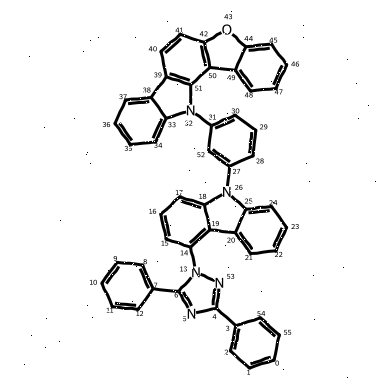 c1ccc(-c2nc(-c3ccccc3)n(-c3cccc4c3c3ccccc3n4-c3cccc(-n4c5ccccc5c5ccc6oc7ccccc7c6c54)c3)n2)cc1